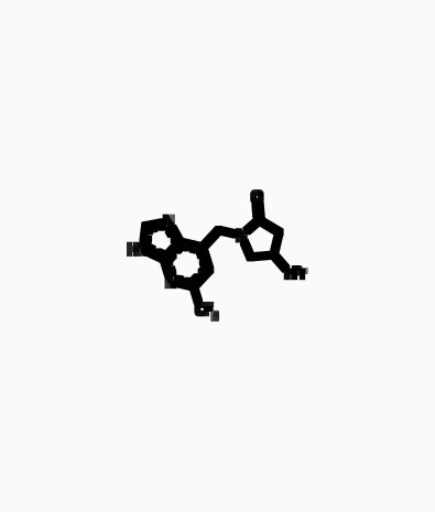 CCCC1CC(=O)N(Cc2cc(C(F)(F)F)nc3[nH]cnc23)C1